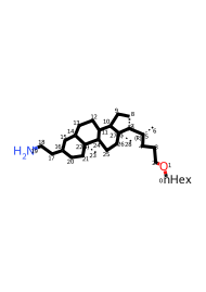 CCCCCCOCCC[C@@H](C)[C@H]1CCC2C3CCC4CC(CCN)CC[C@]4(C)C3CC[C@@]21C